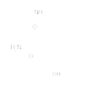 NOc1cccc(O)c1ON